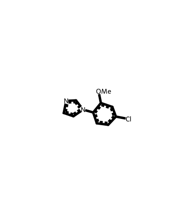 COc1cc(Cl)ccc1-n1ccnc1